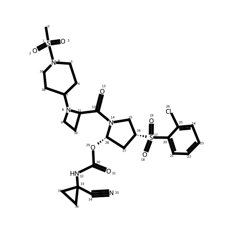 CS(=O)(=O)N1CCC(N2CCC2C(=O)N2C[C@H](S(=O)(=O)c3ccccc3Cl)C[C@@H]2OC(=O)NC2(C#N)CC2)CC1